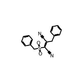 N#C/C(Cc1ccccc1)=C(/C#N)S(=O)(=O)Cc1ccccc1